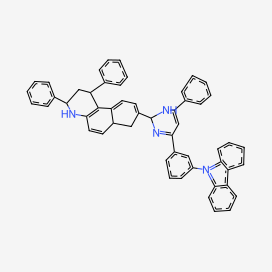 C1=CC2CC(C3N=C(c4cccc(-n5c6ccccc6c6ccccc65)c4)C=C(c4ccccc4)N3)=CC=C2C2=C1NC(c1ccccc1)CC2c1ccccc1